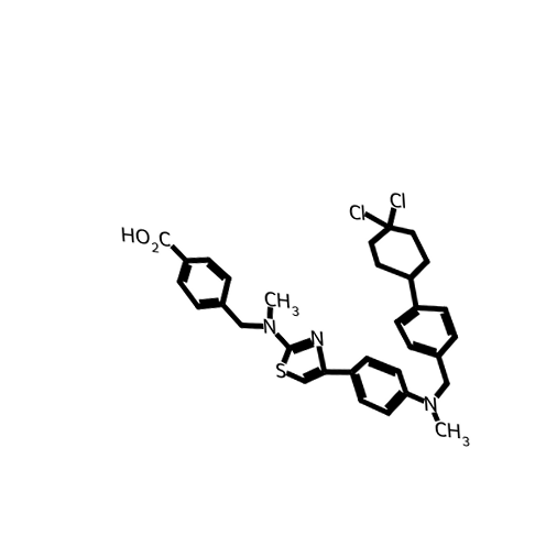 CN(Cc1ccc(C2CCC(Cl)(Cl)CC2)cc1)c1ccc(-c2csc(N(C)Cc3ccc(C(=O)O)cc3)n2)cc1